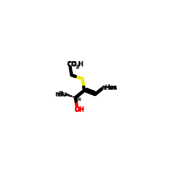 CCCCCCC=C(SCC(=O)O)[C@H](O)CCCC